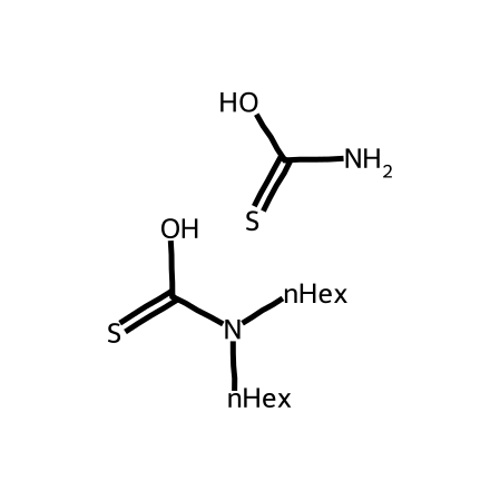 CCCCCCN(CCCCCC)C(O)=S.NC(O)=S